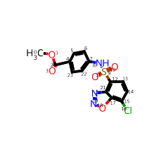 COC(=O)c1ccc(NS(=O)(=O)c2ccc(Cl)c3onnc23)cc1